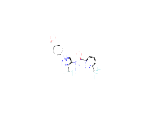 O=C[C@H]1CC[C@H](n2cc(NC(=O)c3cccc(C(F)(F)F)n3)c(C(F)F)n2)CC1